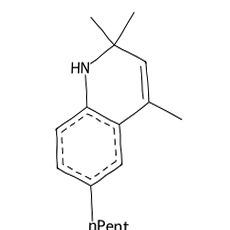 CCCCCc1ccc2c(c1)C(C)=CC(C)(C)N2